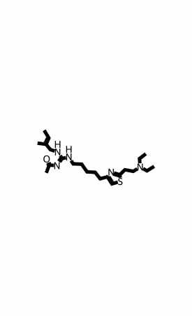 CC=C(C)CNC(=NC(C)=O)NCCCCCc1csc(CCN(CC)CC)n1